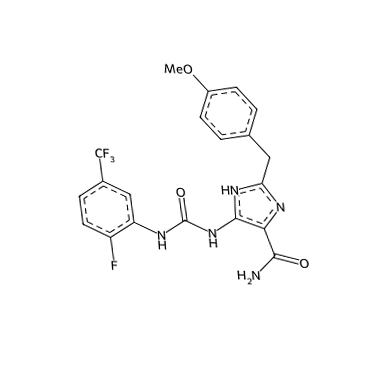 COc1ccc(Cc2nc(C(N)=O)c(NC(=O)Nc3cc(C(F)(F)F)ccc3F)[nH]2)cc1